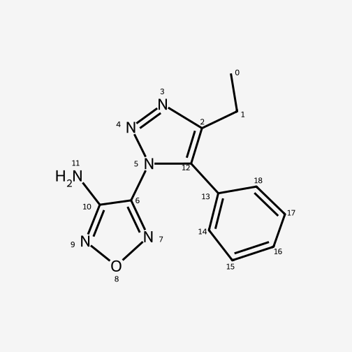 CCc1nnn(-c2nonc2N)c1-c1ccccc1